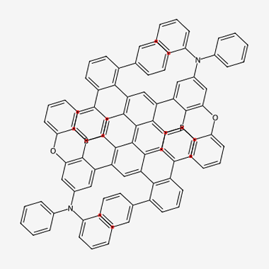 c1ccc(-c2cccc(-c3ccccc3)c2-c2cc3c4c(cc5c(-c6c(-c7ccccc7)cccc6-c6ccccc6)cc6c7c(cc2c4c57)B2c4ccccc4Oc4cc(N(c5ccccc5)c5ccccc5)cc-6c42)B2c4ccccc4Oc4cc(N(c5ccccc5)c5ccccc5)cc-3c42)cc1